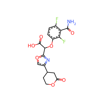 NC(=O)c1c(F)ccc(OC(C(=O)O)c2nc(C3CCOC(=O)C3)co2)c1F